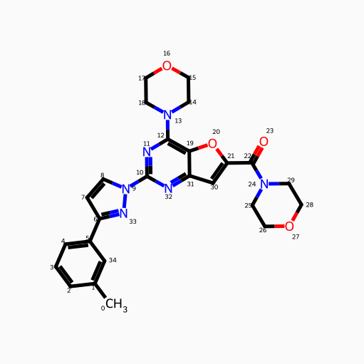 Cc1cccc(-c2ccn(-c3nc(N4CCOCC4)c4oc(C(=O)N5CCOCC5)cc4n3)n2)c1